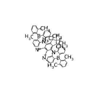 Cc1cccc(C)c1B1c2ccccc2N(c2c(C#N)c(C#N)c(N3c4ccccc4B(c4c(C)cccc4C)c4ccccc43)c3c2C(C)(C)C(F)(F)C3(C)C)c2ccccc21